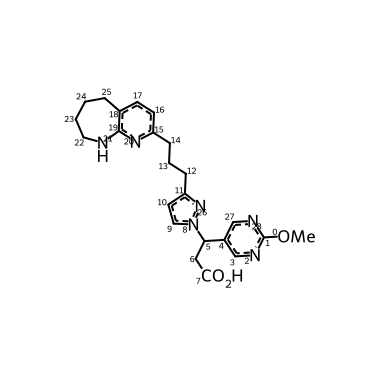 COc1ncc(C(CC(=O)O)n2ccc(CCCc3ccc4c(n3)NCCCC4)n2)cn1